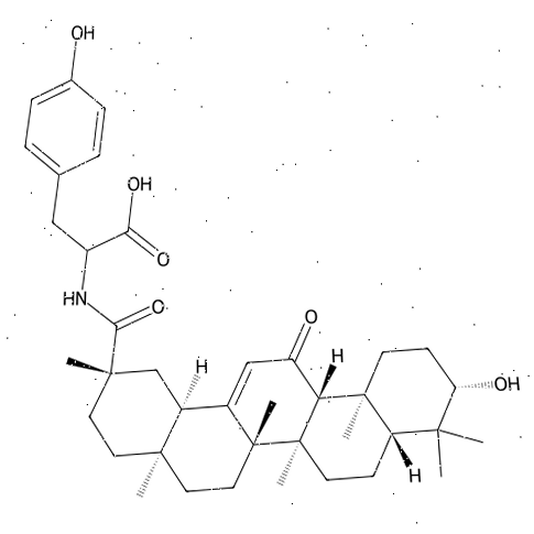 CC1(C)[C@@H](O)CC[C@]2(C)[C@H]3C(=O)C=C4[C@@H]5C[C@@](C)(C(=O)NC(Cc6ccc(O)cc6)C(=O)O)CC[C@]5(C)CC[C@@]4(C)[C@]3(C)CC[C@@H]12